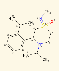 CN=S1(=O)CCN(C(C)C)C(c2ccccc2C(C)C)C1